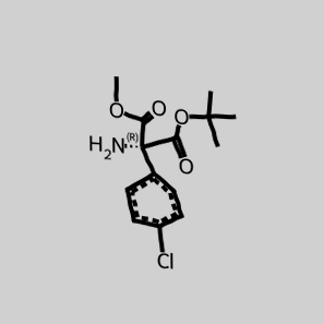 COC(=O)[C@@](N)(C(=O)OC(C)(C)C)c1ccc(Cl)cc1